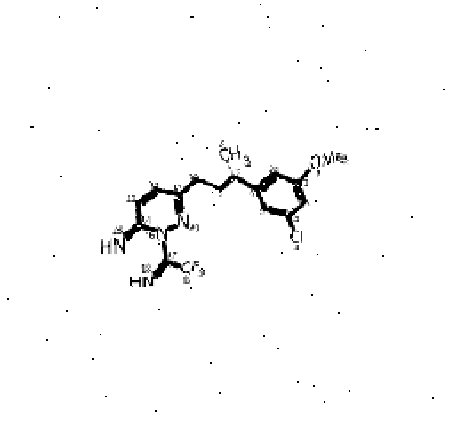 COc1cc(Cl)cc([C@@H](C)CCc2ccc(=N)n(C(=N)C(F)(F)F)n2)c1